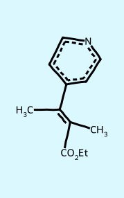 CCOC(=O)C(C)=C(C)c1ccncc1